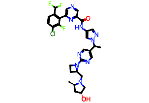 CC(c1cnc(N2CCC2CN2C[C@H](O)C[C@H]2C)nc1)n1cc(NC(=O)c2cncc(-c3c(C(F)F)ccc(Cl)c3F)n2)cn1